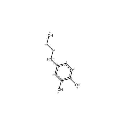 OCCNc1ccc(O)c(O)c1